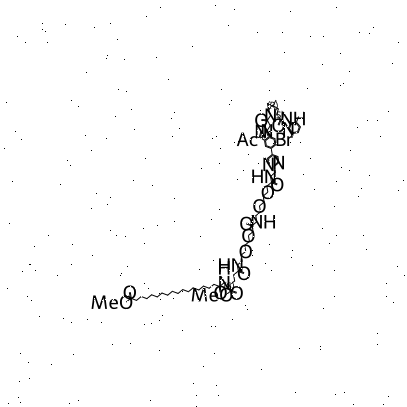 COC(=O)CCCCCCCCCCCCCCCCC(=O)N[C@@H](CCC(=O)NCCOCCOCC(=O)NCCOCCOCC(=O)NCc1ncc(-c2ccc3c(c2)c(C(C)=O)nn3CC(=O)N2C3C[C@]3(C)C[C@H]2C(=O)Nc2nc(Br)ccc2C)cn1)C(=O)OC